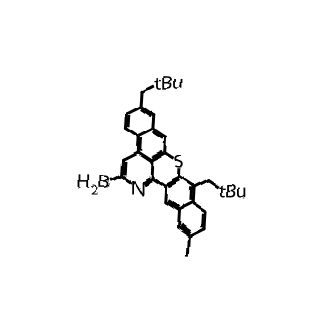 Bc1cc2c3c(cc4cc(CC(C)(C)C)ccc42)Sc2c(cc4cc(C)ccc4c2CC(C)(C)C)-c3n1